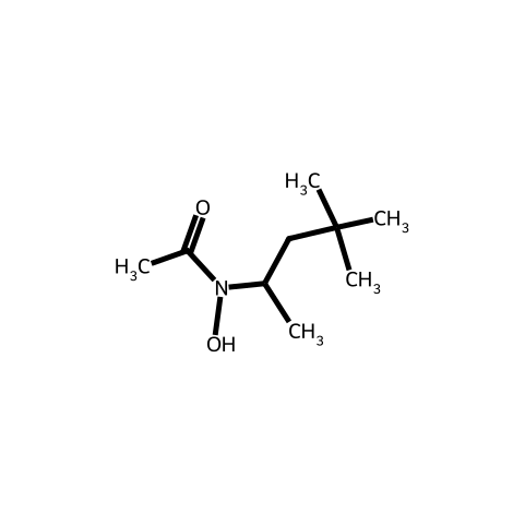 CC(=O)N(O)C(C)CC(C)(C)C